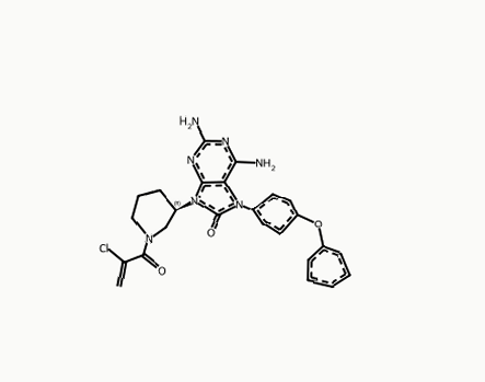 C=C(Cl)C(=O)N1CCC[C@@H](n2c(=O)n(-c3ccc(Oc4ccccc4)cc3)c3c(N)nc(N)nc32)C1